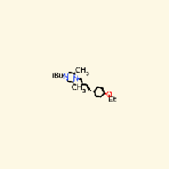 CCO[C@H]1CC[C@H](CCCCN2[C@@H](C)CN(C(C)CC)C[C@@H]2C)CC1